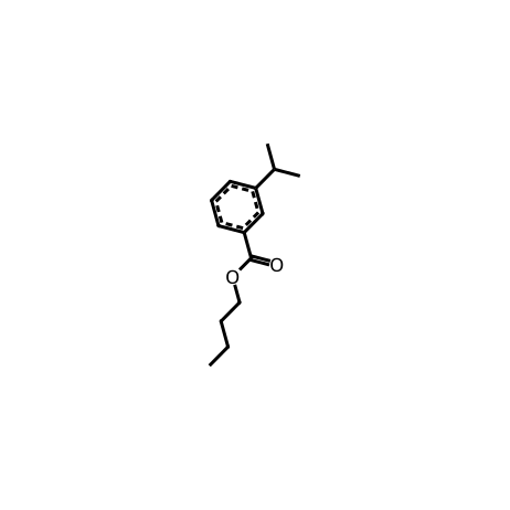 CCCCOC(=O)c1cccc(C(C)C)c1